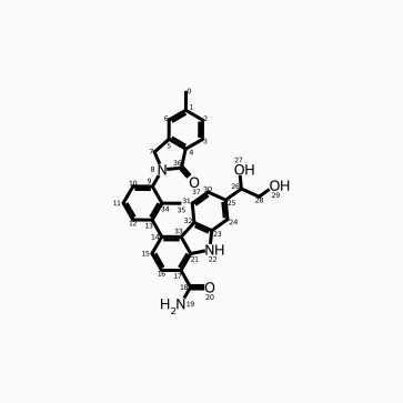 Cc1ccc2c(c1)CN(c1cccc(-c3ccc(C(N)=O)c4[nH]c5cc(C(O)CO)ccc5c34)c1C)C2=O